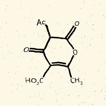 CC(=O)C1C(=O)OC(C)=C(C(=O)O)C1=O